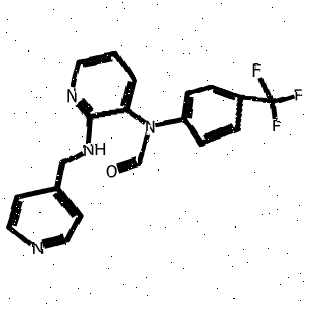 O=CN(c1ccc(C(F)(F)F)cc1)c1cccnc1NCc1ccncc1